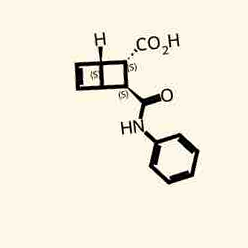 O=C(O)[C@H]1[C@H]2C=CC2[C@@H]1C(=O)Nc1ccccc1